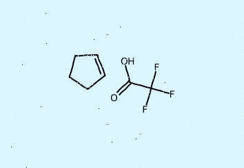 C1=CCCC1.O=C(O)C(F)(F)F